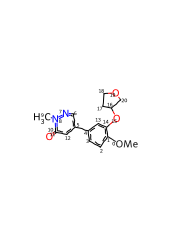 COc1ccc(-c2cnn(C)c(=O)c2)cc1OC1CCOC1